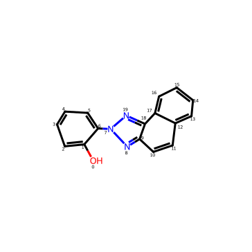 Oc1ccccc1-n1nc2ccc3ccccc3c2n1